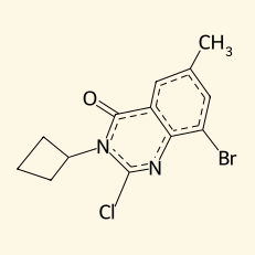 Cc1cc(Br)c2nc(Cl)n(C3CCC3)c(=O)c2c1